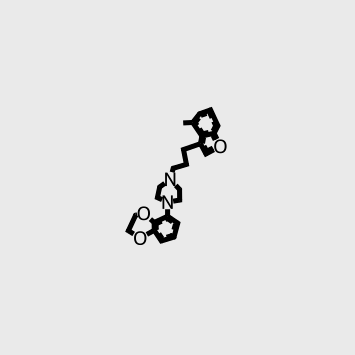 Cc1cccc2occ(CCCN3CCN(c4cccc5c4OCCO5)CC3)c12